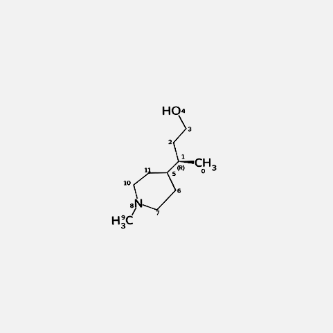 C[C@H](CCO)C1CCN(C)CC1